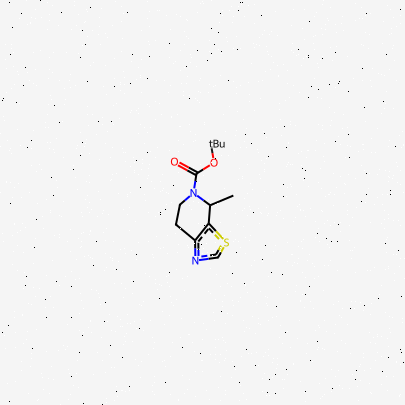 CC1c2scnc2CCN1C(=O)OC(C)(C)C